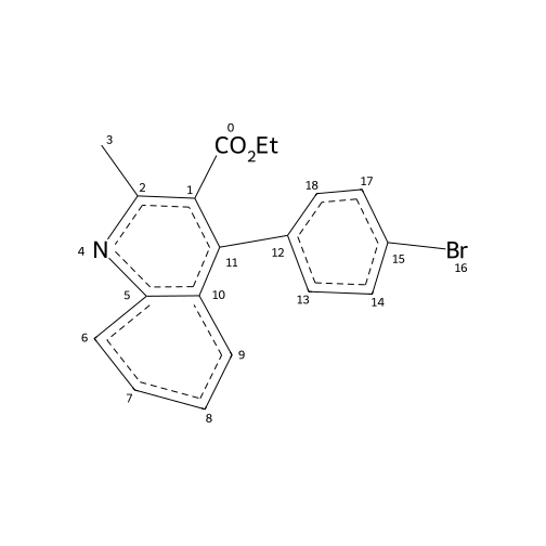 CCOC(=O)c1c(C)nc2ccccc2c1-c1ccc(Br)cc1